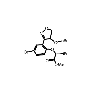 CCCCOC1CON=C1c1cc(Br)ccc1O[C@H](C(=O)OC)C(C)C